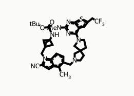 CNc1nc(N2CCC3(CCN(Cc4ccc5c(cc(C#N)n5CC56CC(NC(=O)OC(C)(C)C)(C5)C6)c4C)C3)C2)c2cc(CC(F)(F)F)sc2n1